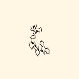 c1cc(-c2ccc(-n3c4ccccc4c4ncccc43)cc2)nc(-c2cccc(-c3nc4ccccc4c4ccccc34)n2)c1